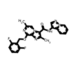 Cc1cn2c(C(=O)Nc3cnn4ccccc34)c(C)nc2c(OCc2c(F)cccc2F)n1